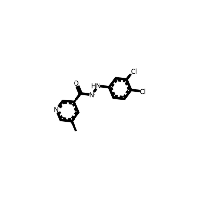 Cc1cncc(C(=O)[N]Nc2ccc(Cl)c(Cl)c2)c1